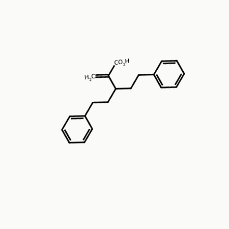 C=C(C(=O)O)C(CCc1ccccc1)CCc1ccccc1